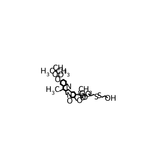 CCc1c2c(nc3ccc(OC(=O)OC(C)(C)C)cc13)-c1cc3c(c(=O)n1C2)COC(=O)[C@@]3(CC)OC(=O)OCCSSCCO